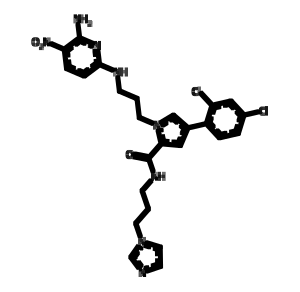 Nc1nc(NCCCn2cc(-c3ccc(Cl)cc3Cl)cc2C(=O)NCCCn2ccnc2)ccc1[N+](=O)[O-]